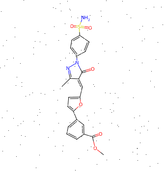 COC(=O)c1cccc(-c2ccc(/C=C3/C(=O)N(c4ccc(S(N)(=O)=O)cc4)N=C3C)o2)c1